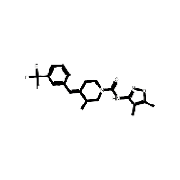 Cc1onc(NC(=O)N2CC/C(=C\c3cccc(C(F)(F)F)c3)C(C)C2)c1C